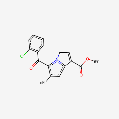 CCCc1cc2n(c1C(=O)c1ccccc1Cl)CC=C2C(=O)OC(C)C